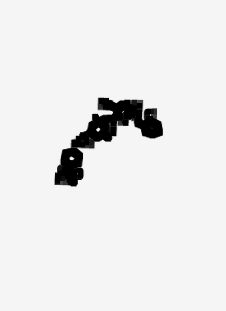 CNS(=O)(=O)[C@H]1CC[C@H](CNC[C@@H]2CC(C)C[C@@](C)(CNc3nc(NCc4ccccc4Cl)ncc3C#N)C2)CC1